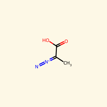 CC(=[N+]=[N-])C(=O)O